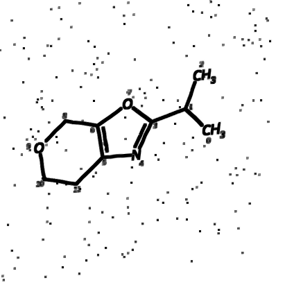 CC(C)c1nc2c(o1)COCC2